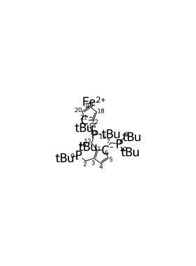 CC(C)(C)P(Cc1cc[c-](CP(C(C)(C)C)C(C)(C)C)c1CP(C(C)(C)C)C(C)(C)C)C(C)(C)C.[Fe+2].c1cc[cH-]c1